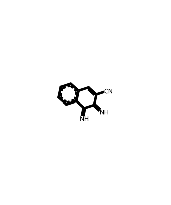 N#CC1=Cc2ccccc2C(=N)C1=N